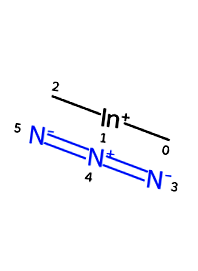 [CH3][In+][CH3].[N-]=[N+]=[N-]